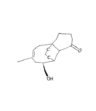 C/C1=C/CC23CCCC(C2C(=O)CC3)[C@@H](O)C1